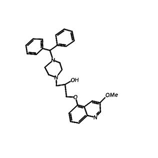 COc1cnc2cccc(OCC(O)CN3CCN(C(c4ccccc4)c4ccccc4)CC3)c2c1